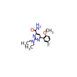 CCN(CC)c1nc(C(N)=O)cc(-c2cc(F)ccc2OC)n1